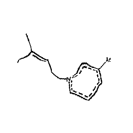 CC(=O)c1ccc[n+](CC=C(C)C)c1